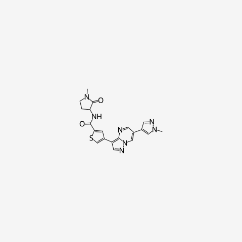 CN1CCC(NC(=O)c2cc(-c3cnn4cc(-c5cnn(C)c5)cnc34)cs2)C1=O